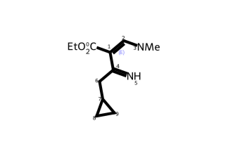 CCOC(=O)/C(=C/NC)C(=N)CC1CC1